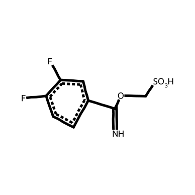 N=C(OCS(=O)(=O)O)c1ccc(F)c(F)c1